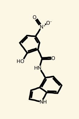 O=C(Nc1cccc2[nH]ccc12)c1cc([N+](=O)[O-])ccc1O